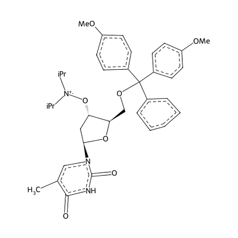 COc1ccc(C(OC[C@H]2O[C@@H](n3cc(C)c(=O)[nH]c3=O)C[C@@H]2O[N+](C(C)C)C(C)C)(c2ccccc2)c2ccc(OC)cc2)cc1